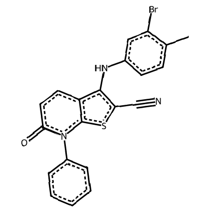 Cc1ccc(Nc2c(C#N)sc3c2ccc(=O)n3-c2ccccc2)cc1Br